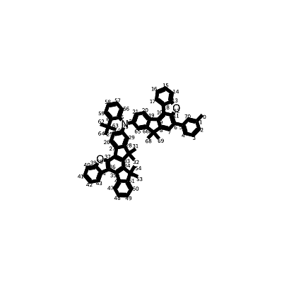 Cc1cccc(-c2cc3c(c4c2oc2ccccc24)-c2ccc(N(c4ccc5c(c4)C(C)(C)c4c6c(c7c(oc8ccccc87)c4-5)-c4ccccc4C6(C)C)c4ccccc4C(C)(C)C)cc2C3(C)C)c1